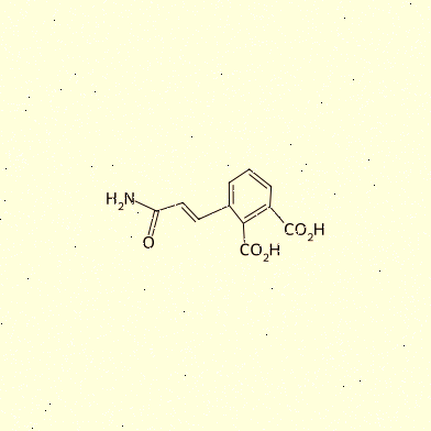 NC(=O)C=Cc1cccc(C(=O)O)c1C(=O)O